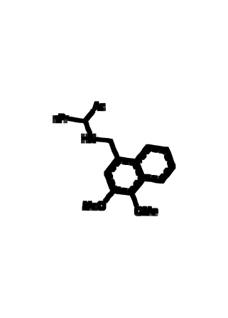 CCCC(NCc1cc(OC)c(OC)c2ccccc12)C(C)=O